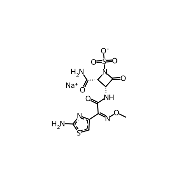 CO/N=C(\C(=O)N[C@H]1C(=O)N(S(=O)(=O)[O-])[C@H]1C(N)=O)c1csc(N)n1.[Na+]